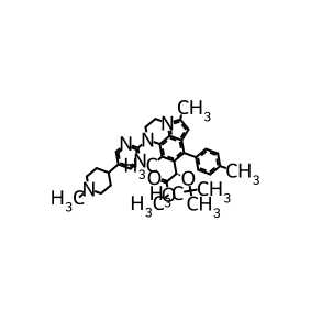 COC(=O)[C@@H](OC(C)(C)C)c1c(C)c2c3c(cc(C)n3CCN2c2ncc(C3CCN(C)CC3)cn2)c1-c1ccc(C)cc1